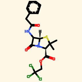 CC1(C)S[C@@H]2C(NC(=O)Cc3ccccc3)C(=O)N2[C@H]1C(=O)OCC(Cl)(Cl)Cl